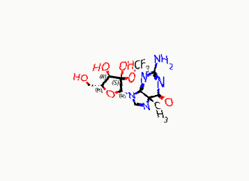 CC12N=CN([C@@H]3O[C@H](CO)[C@@H](O)[C@]3(O)OC(F)(F)F)C1=NC(N)=NC2=O